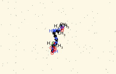 Cc1cc(-c2n[nH]c3ccc(-c4ccc(N5CCC(CN6CC(C)N(c7cc8c(cc7F)C(=O)N(C7CCC(=O)NC7=O)C8=O)C(C)C6)CC5)cc4)cc23)ccc1CNC(=O)c1nc(C(C)(C)C)no1